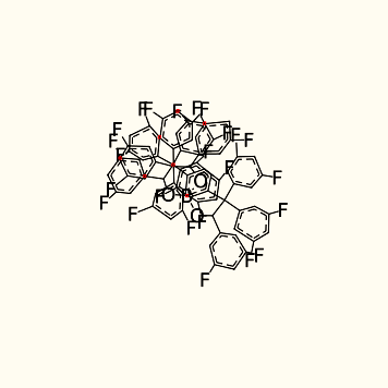 Fc1cc(F)cc(C(OB(OC(c2cc(F)cc(F)c2)C(c2cc(F)cc(F)c2)(c2cc(F)cc(F)c2)c2cc(F)cc(F)c2)OC(c2cc(F)cc(F)c2)C(c2cc(F)cc(F)c2)(c2cc(F)cc(F)c2)c2cc(F)cc(F)c2)C(c2cc(F)cc(F)c2)(c2cc(F)cc(F)c2)c2cc(F)cc(F)c2)c1